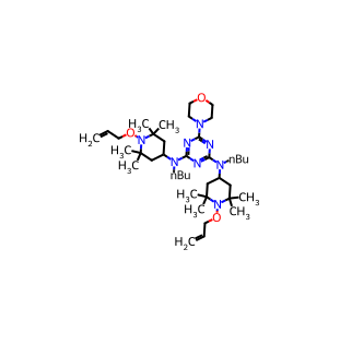 C=CCON1C(C)(C)CC(N(CCCC)c2nc(N3CCOCC3)nc(N(CCCC)C3CC(C)(C)N(OCC=C)C(C)(C)C3)n2)CC1(C)C